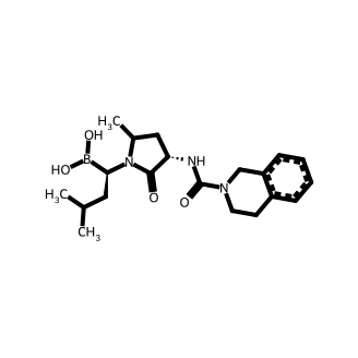 CC(C)C[C@@H](B(O)O)N1C(=O)[C@@H](NC(=O)N2CCc3ccccc3C2)CC1C